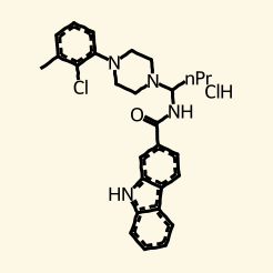 CCCC(NC(=O)c1ccc2c(c1)[nH]c1ccccc12)N1CCN(c2cccc(C)c2Cl)CC1.Cl